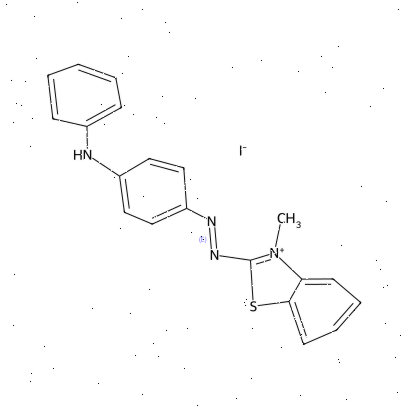 C[n+]1c(/N=N/c2ccc(Nc3ccccc3)cc2)sc2ccccc21.[I-]